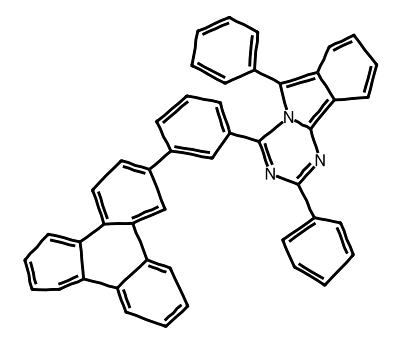 c1ccc(-c2nc(-c3cccc(-c4ccc5c6ccccc6c6ccccc6c5c4)c3)n3c(-c4ccccc4)c4ccccc4c3n2)cc1